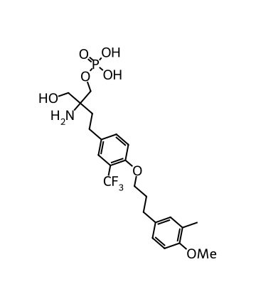 COc1ccc(CCCOc2ccc(CCC(N)(CO)COP(=O)(O)O)cc2C(F)(F)F)cc1C